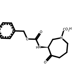 O=C(N[C@H]1CN(C(=O)O)CCCC1=O)OCc1ccccc1